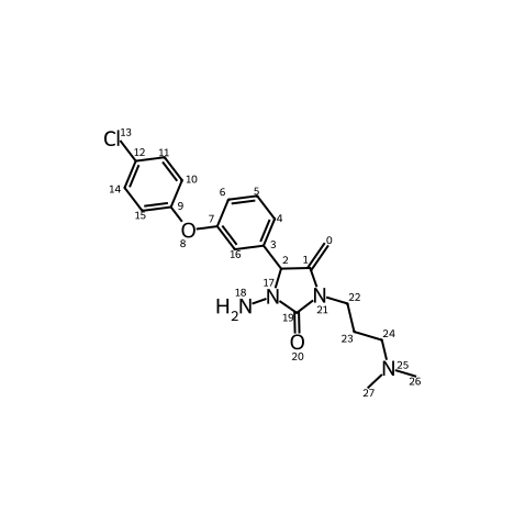 C=C1C(c2cccc(Oc3ccc(Cl)cc3)c2)N(N)C(=O)N1CCCN(C)C